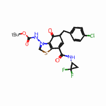 CC(C)(C)OC(=O)NN1CSC2=C1C(=O)C(Cc1ccc(Cl)cc1)C=C2C(=O)N[C@@H]1CC1(F)F